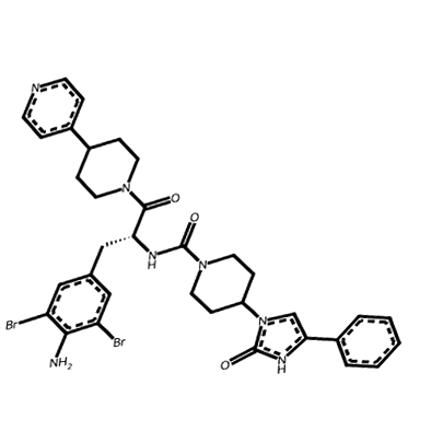 Nc1c(Br)cc(C[C@@H](NC(=O)N2CCC(n3cc(-c4ccccc4)[nH]c3=O)CC2)C(=O)N2CCC(c3ccncc3)CC2)cc1Br